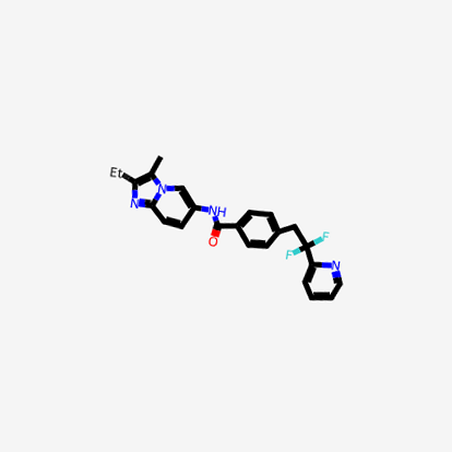 CCc1nc2ccc(NC(=O)c3ccc(CC(F)(F)c4ccccn4)cc3)cn2c1C